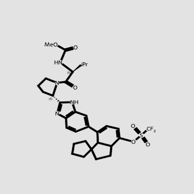 COC(=O)N[C@H](C(=O)N1CCC[C@H]1c1nc2ccc(C3=CC=C(OS(=O)(=O)C(F)(F)F)C4CCC5(CCCC5)C34)cc2[nH]1)C(C)C